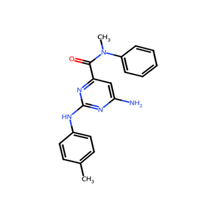 Cc1ccc(Nc2nc(N)cc(C(=O)N(C)c3ccccc3)n2)cc1